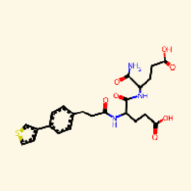 NC(=O)C(CCC(=O)O)NC(=O)C(CCC(=O)O)NC(=O)CCc1ccc(-c2ccsc2)cc1